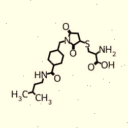 CC(C)CCNC(=O)C1CCC(CN2C(=O)CC(SCC(N)C(=O)O)C2=O)CC1